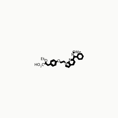 CCO[C@@H](Cc1ccc(OCCn2ccc3ccc(C(=NOC)C4CCCCC4)nc32)cc1)C(=O)O